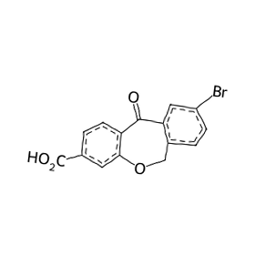 O=C(O)c1ccc2c(c1)OCc1ccc(Br)cc1C2=O